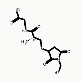 CC(C)CN1C(=O)CC(SC[C@H](N)C(=O)NCC(=O)C(C)C)C1=O